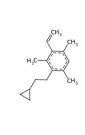 C=Cc1c(C)cc(C)c(CCC2CC2)c1C